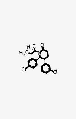 CC[C@@H](C)N1C(=O)CC[C@H](c2cccc(Cl)c2)[C@H]1c1ccc(Cl)cc1